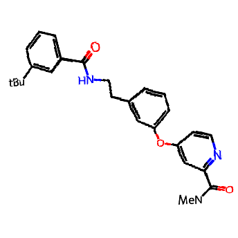 CNC(=O)c1cc(Oc2cccc(CCNC(=O)c3cccc(C(C)(C)C)c3)c2)ccn1